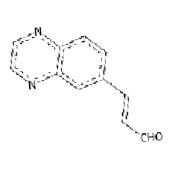 O=CC=Cc1ccc2nccnc2c1